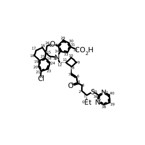 CC[C@H](CCC(=O)/C=C/[C@@H]1CC[C@H]1CN1CC2(CCCc3cc(Cl)ccc32)COc2ccc(C(=O)O)cc21)Sc1ncccn1